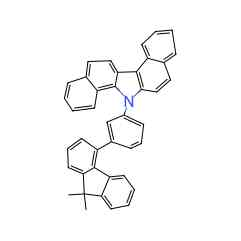 CC1(C)c2ccccc2-c2c(-c3cccc(-n4c5ccc6ccccc6c5c5ccc6ccccc6c54)c3)cccc21